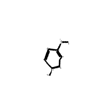 CSC1=CC[C@@H](C)C=C1